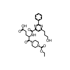 CCOC(=O)N1CCN(C(=O)C(CCC(=O)O)NC(=O)c2cc(CCCO)nc(-c3ccccc3)n2)CC1